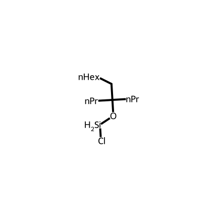 CCCCCCCC(CCC)(CCC)O[SiH2]Cl